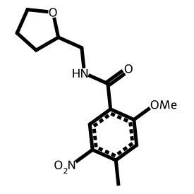 COc1cc(C)c([N+](=O)[O-])cc1C(=O)NCC1CCCO1